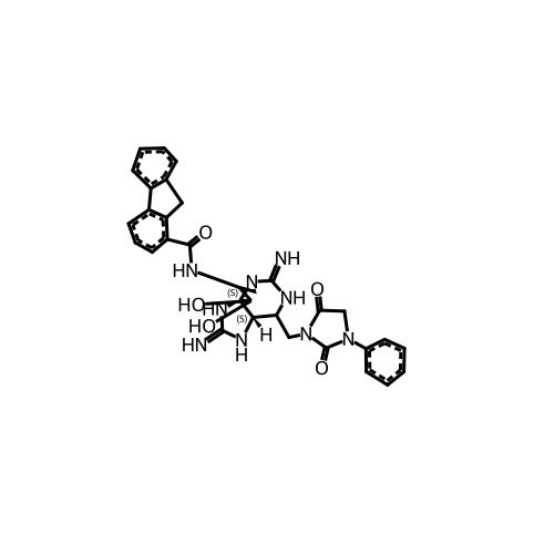 N=C1N[C@H]2C(CN3C(=O)CN(c4ccccc4)C3=O)NC(=N)N3CC(NC(=O)c4cccc5c4Cc4ccccc4-5)C(O)(O)[C@]23N1